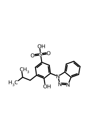 CC(C)Cc1cc(S(=O)(=O)O)cc(-n2nnc3ccccc32)c1O